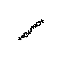 CC(C)(C)C1CCC2(CC1)CN(C(C)(C)CCC(C)(C)N1CCC3(CC1)CC(C(C)(C)C)C3)C2